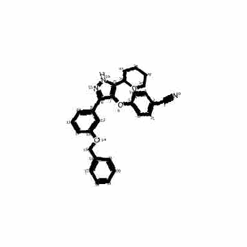 N#Cc1ccc(Oc2c(-c3cccc(OCc4ccccc4)c3)n[nH]c2C2CCCCO2)cc1